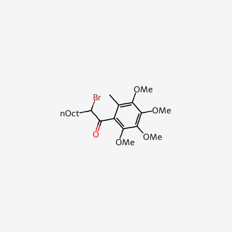 CCCCCCCCC(Br)C(=O)c1c(C)c(OC)c(OC)c(OC)c1OC